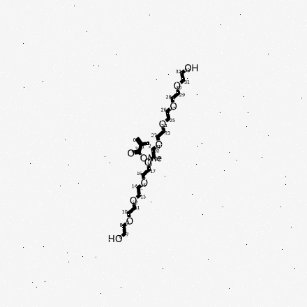 C=C(C)C(=O)OC.OCCOCCOCCOCCOCCOCCOCCOCCOCCO